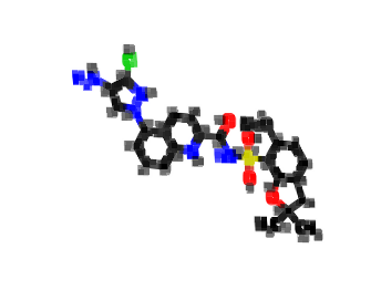 COc1ccc2c(c1S(=O)(=O)NC(=O)c1ccc3c(-n4cc(N)c(Cl)n4)cccc3n1)OC(C)(C)C2